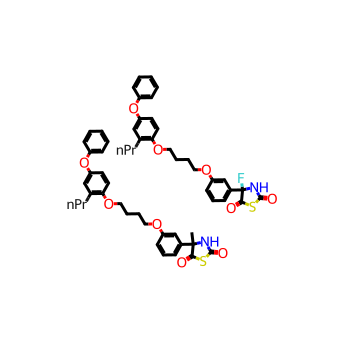 CCCc1cc(Oc2ccccc2)ccc1OCCCCOc1cccc(C2(C)NC(=O)SC2=O)c1.CCCc1cc(Oc2ccccc2)ccc1OCCCCOc1cccc(C2(F)NC(=O)SC2=O)c1